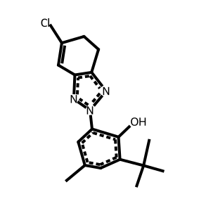 Cc1cc(-n2nc3c(n2)CCC(Cl)=C3)c(O)c(C(C)(C)C)c1